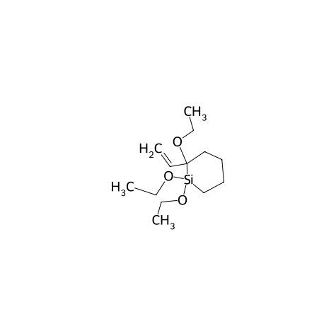 C=CC1(OCC)CCCC[Si]1(OCC)OCC